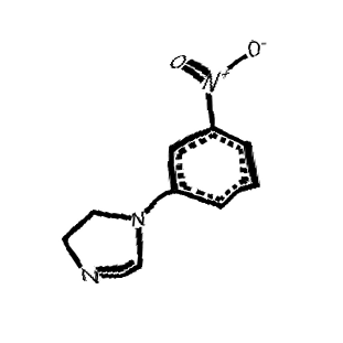 O=[N+]([O-])c1cccc(N2C=NCC2)c1